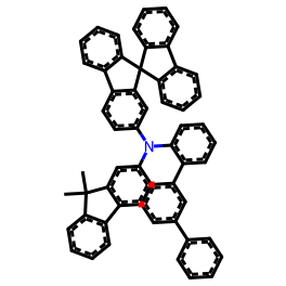 CC1(C)c2ccccc2-c2ccc(N(c3ccc4c(c3)C3(c5ccccc5-c5ccccc53)c3ccccc3-4)c3ccccc3-c3cccc(-c4ccccc4)c3)cc21